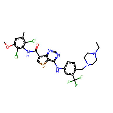 CCN1CCN(Cc2ccc(Nc3ncnc4c(C(=O)Nc5c(Cl)c(C)cc(OC)c5Cl)csc34)cc2C(F)(F)F)CC1